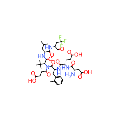 Cc1ccccc1C[C@H](NC(=O)[C@H](CCC(=O)O)NC(=O)[C@@H](N)CC(=O)O)C(=O)N(C(=O)CCC(=O)O)[C@H](C(=O)N[C@@H](CC(C)C)C(=O)NC(C=O)CC(F)(F)F)C(C)(C)C